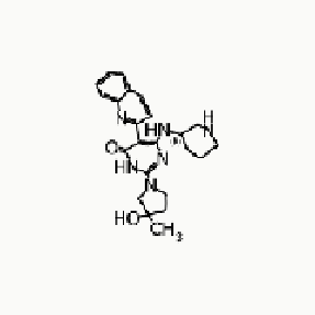 CC1(O)CCN(c2nc(N[C@@H]3CCCNC3)c(-c3ccc4ccccc4n3)c(=O)[nH]2)C1